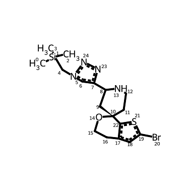 C[Si](C)(C)Cn1cc(C2C[C@]3(CCN2)OCCc2cc(Br)sc23)nn1